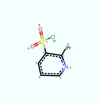 CC(C)c1ncccc1S(=O)(=O)Cl